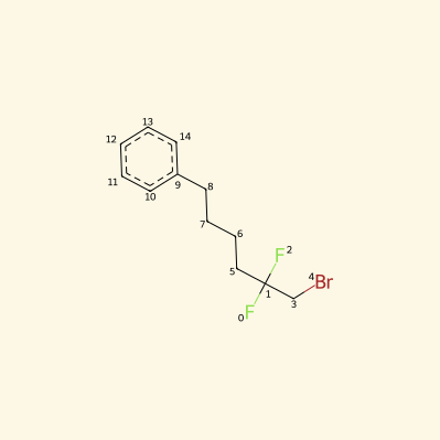 FC(F)(CBr)CCCCc1ccccc1